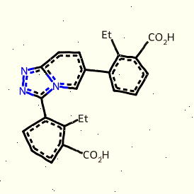 CCc1c(C(=O)O)cccc1-c1ccc2nnc(-c3cccc(C(=O)O)c3CC)n2c1